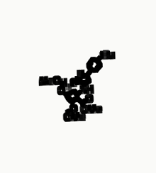 COCOc1cc(Nc2cc(-c3ccc(C(C)(C)C)cc3)nn2C)c(C(=O)OC)c(OCOC)c1